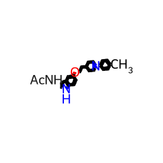 CC(=O)Nc1c[nH]c2ccc(OCCC3CCN(c4ccc(C)cc4)CC3)cc12